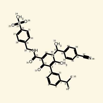 Cc1c(-c2cccc(C(F)F)c2)c(=O)c(C(=O)NCc2ccc(S(C)(=O)=O)cc2)cn1C(C)c1ccc(C#N)cc1